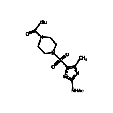 CC(=O)Nc1nc(C)c(S(=O)(=O)N2CCN(C(=O)C(C)(C)C)CC2)s1